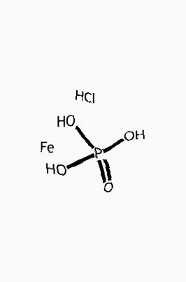 Cl.O=P(O)(O)O.[Fe]